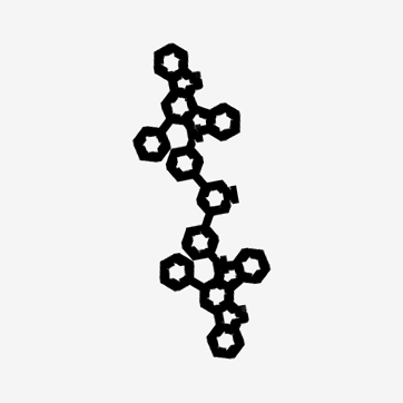 c1ccc(-c2cc3c4ccccc4sc3c3c4ccccc4n(-c4cccc(-c5cncc(-c6cccc(-n7c8ccccc8c8c9sc%10ccccc%10c9cc(-c9ccccc9)c87)c6)c5)c4)c23)cc1